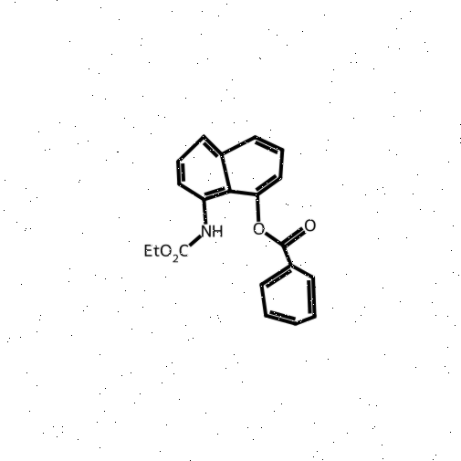 CCOC(=O)Nc1cccc2cccc(OC(=O)c3ccccc3)c12